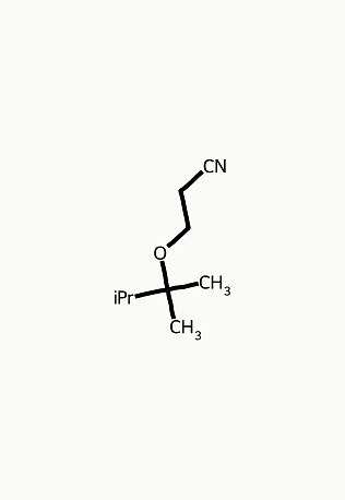 CC(C)C(C)(C)OCCC#N